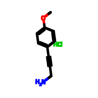 COc1ccc(C#CCN)cc1.Cl